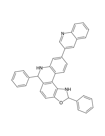 c1ccc(C2Nc3c(ccc4c3-c3ccc(-c5cnc6ccccc6c5)cc3NC4c3ccccc3)O2)cc1